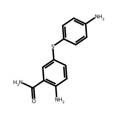 NC(=O)c1cc(Sc2ccc(N)cc2)ccc1N